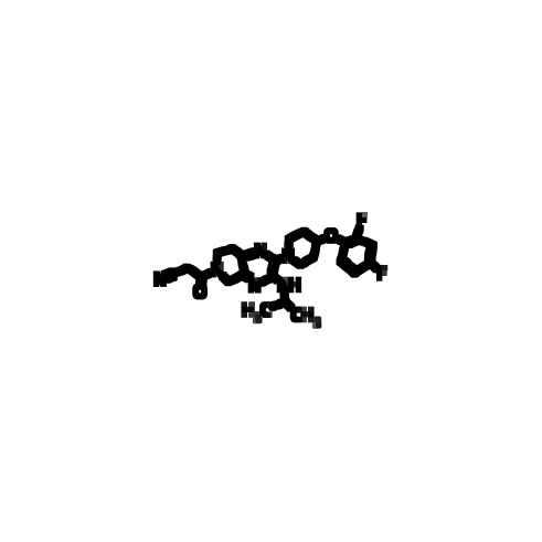 CC(C)Nc1nc2c(nc1N1CCC(Oc3ccc(F)cc3F)CC1)CCN(C(=O)CC#N)C2